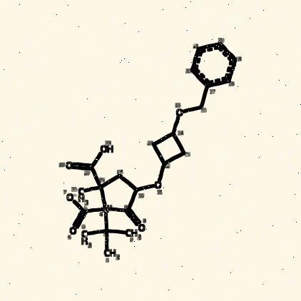 CC(C)(C)[N+]1(C(=O)[O-])C(=O)C(OC2CC(OCc3ccccc3)C2)CC1(C)C(=O)O